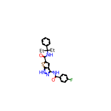 CCC(CC)(NC(=O)c1cc2c(NC(=O)c3ccc(F)cc3)n[nH]c2s1)c1ccccc1